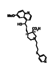 COc1ccc2nccc(C(O)CC[C@@H]3CCN(CCCSc4ccncc4)C[C@@H]3C(=O)O)c2c1